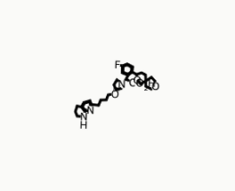 O=C(O)C(c1cc(F)ccc1C1CCC2(CCOCC2)CO1)N1CC[C@@H](OCCCCc2ccc3c(n2)NCCC3)C1